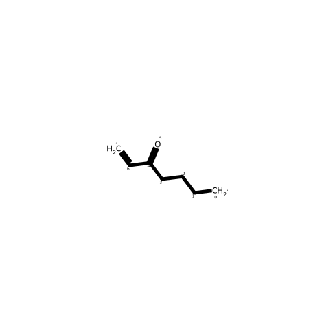 [CH2]CCCC(=O)C=C